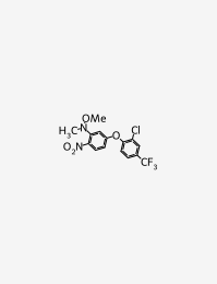 CON(C)c1cc(Oc2ccc(C(F)(F)F)cc2Cl)ccc1[N+](=O)[O-]